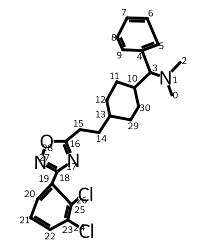 CN(C)C(c1ccccc1)C1CCC(CCc2nc(-c3cccc(Cl)c3Cl)no2)CC1